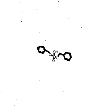 O=P(O)(OCc1ccccc1)OCC1C=CC=CC1